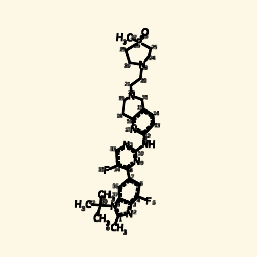 Cc1nc2c(F)cc(-c3nc(Nc4ccc5c(n4)CCN(CCN4CCP(C)(=O)CC4)C5)ncc3F)cc2n1C(C)(C)C